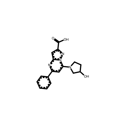 O=C(O)c1cc2nc(-c3ccccc3)cc(N3CCC(O)C3)n2n1